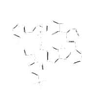 CC(C)(C)c1cc[n+]2c(c1)-c1cc3c4cccc5c6ccc7oc8ccccc8c7c6n(c3cc1C1C[n+]3ccccc3-c3ccccc3C/C=C/C12)c45